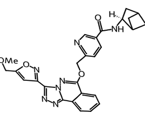 COCc1cc(-c2nnc3c4ccccc4c(OCc4ccc(C(=O)N[C@H]5CC6CC5C6)cn4)nn23)no1